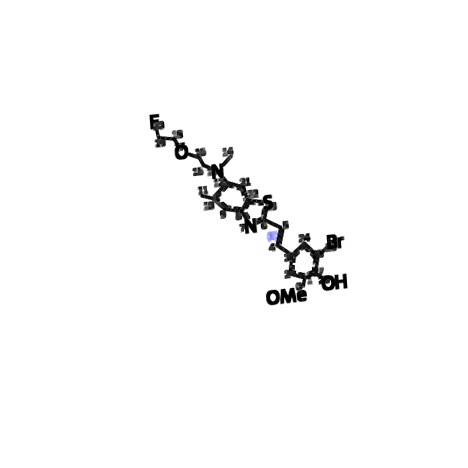 COc1cc(/C=C/c2nc3cc(C)c(N(C)CCOCCF)cc3s2)cc(Br)c1O